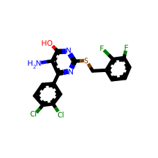 Nc1c(O)nc(SCc2cccc(F)c2F)nc1-c1ccc(Cl)c(Cl)c1